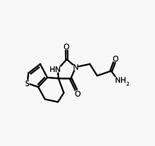 NC(=O)CCN1C(=O)NC2(CCCc3sccc32)C1=O